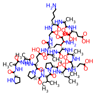 CC(C)C[C@H](NC(=O)[C@@H]1CCCN1C(=O)[C@@H](NC(=O)[C@@H]1CCCN1C(=O)[C@H](CCC(=O)O)NC(=O)[C@H](C)NC(=O)[C@H](C)NC(=O)[C@@H]1CCCN1)C(C)C)C(=O)N[C@@H](CCC(=O)O)C(=O)N[C@@H](C)C(=O)N[C@@H](CCC(=O)O)C(=O)N[C@@H](C)C(=O)N[C@@H](CCCCN)C(=O)NCC(=O)N[C@@H](CCCCN)C(=O)N[C@@H](C)C(=O)N[C@@H](CCC(=O)O)C(=O)O